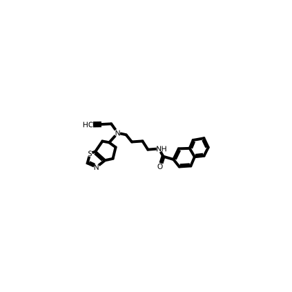 C#CCN(CCCCNC(=O)c1ccc2ccccc2c1)C1CCc2ncsc2C1